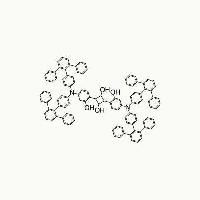 Oc1cc(N(c2ccc(-c3c(-c4ccccc4)cccc3-c3ccccc3)cc2)c2ccc(-c3c(-c4ccccc4)cccc3-c3ccccc3)cc2)ccc1C1C(O)C(c2ccc(N(c3ccc(-c4c(-c5ccccc5)cccc4-c4ccccc4)cc3)c3ccc(-c4c(-c5ccccc5)cccc4-c4ccccc4)cc3)cc2O)C1O